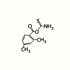 Cc1ccc(C(=O)OC(N)=S)c(C)c1